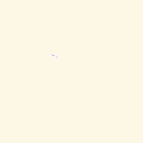 CCCC[PH](CCCC)(CCCC)CCCC.N[C@@H](Cc1ccccc1)C(=O)O